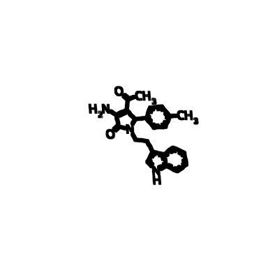 CC(=O)C1=C(N)C(=O)N(CCc2c[nH]c3ccccc23)C1c1ccc(C)cc1